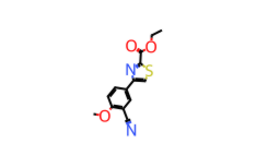 CCOC(=O)c1nc(-c2ccc(OC)c(C#N)c2)cs1